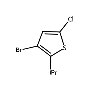 CC(C)c1sc(Cl)cc1Br